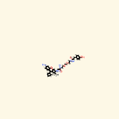 Cc1cc2c(-c3ccccc3C(=O)O)c3cc(C)c(=N)cc-3oc2cc1NCC(=O)NCCOCCOCCNC(=O)/C=C/c1ccc(O)cc1